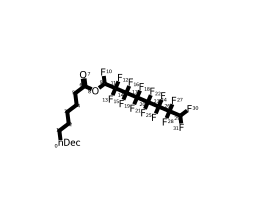 CCCCCCCCCCCCCCCC(=O)OC(F)C(F)(F)C(F)(F)C(F)(F)C(F)(F)C(F)(F)C(F)(F)C(F)F